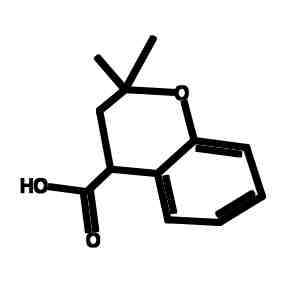 CC1(C)CC(C(=O)O)c2ccccc2O1